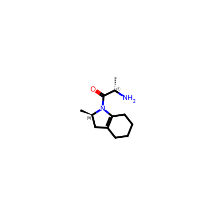 C[C@H](N)C(=O)N1C2=C(CCCC2)C[C@H]1C